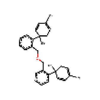 CC(C)C1=CCC(c2ccccc2COCc2ccccc2C2(C(C)C)C=CC(C(C)C)=CC2)(C(C)C)C=C1